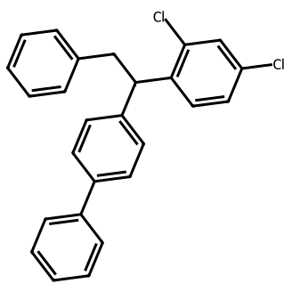 Clc1ccc([C](Cc2ccccc2)c2ccc(-c3ccccc3)cc2)c(Cl)c1